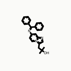 CC(C)(O)Cc1cnc2cc(N=C(c3ccccc3)c3ccccc3)ccn12